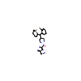 O=C(c1cncc2cc[nH]c12)N1CCC(=C2c3ccccc3C[S+]([O-])c3ccccc32)CC1